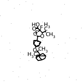 CC(C)C(OC(=O)c1ccc(OC(C)(C)C23CC4CC(CC(C4)C2)C3)cc1)C(F)(F)C(=O)O